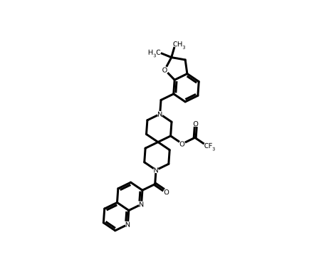 CC1(C)Cc2cccc(CN3CCC4(CCN(C(=O)c5ccc6cccnc6n5)CC4)C(OC(=O)C(F)(F)F)C3)c2O1